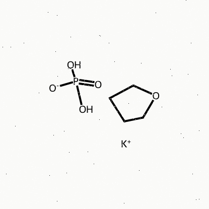 C1CCOC1.O=P([O-])(O)O.[K+]